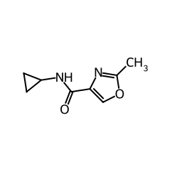 Cc1nc(C(=O)NC2CC2)co1